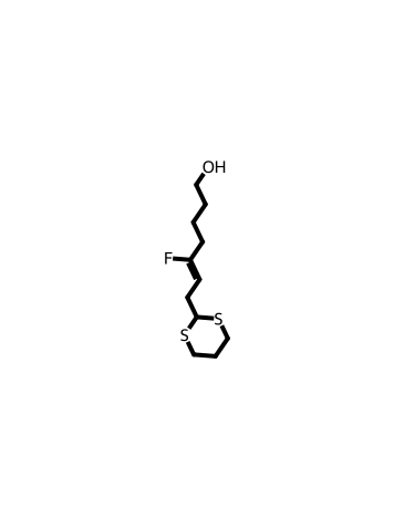 OCCCCC(F)=CCC1SCCCS1